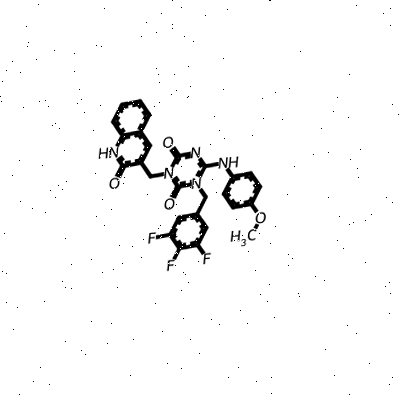 COc1ccc(Nc2nc(=O)n(Cc3cc4ccccc4[nH]c3=O)c(=O)n2Cc2cc(F)c(F)c(F)c2)cc1